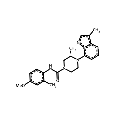 COc1ccc(NC(=O)N2CCN(c3ccnc4c(C)cnn34)[C@@H](C)C2)c(C)c1